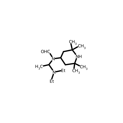 CCN(CC)C(C)N(C=O)C1CC(C)(C)NC(C)(C)C1